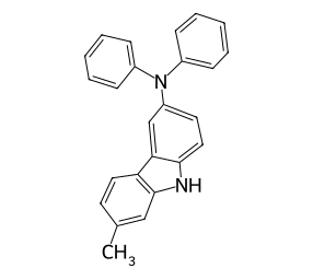 Cc1ccc2c(c1)[nH]c1ccc(N(c3ccccc3)c3ccccc3)cc12